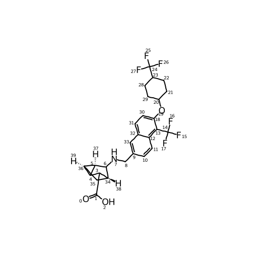 O=C(O)C1C2[C@@H]3C(NCc4ccc5c(C(F)(F)F)c(OC6CCC(C(F)(F)F)CC6)ccc5c4)[C@@H]1C[C@@H]23